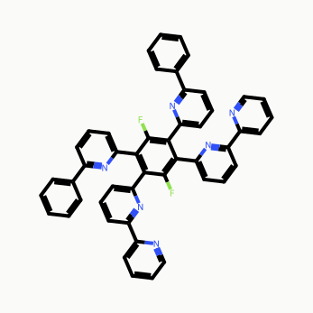 Fc1c(-c2cccc(-c3ccccc3)n2)c(-c2cccc(-c3ccccn3)n2)c(F)c(-c2cccc(-c3ccccn3)n2)c1-c1cccc(-c2ccccc2)n1